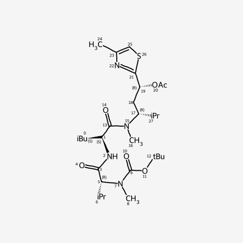 CC[C@H](C)[C@H](NC(=O)[C@@H](C(C)C)N(C)C(=O)OC(C)(C)C)C(=O)N(C)[C@H](C[C@@H](OC(C)=O)c1nc(C)cs1)C(C)C